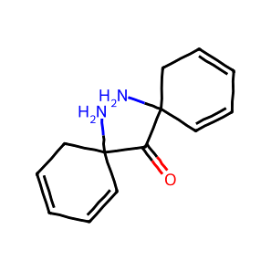 NC1(C(=O)C2(N)C=CC=CC2)C=CC=CC1